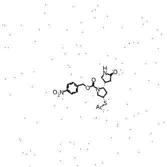 CC(=O)S[C@H]1C[C@@H](C2CNC(=O)C2)N(C(=O)OCc2ccc([N+](=O)[O-])cc2)C1